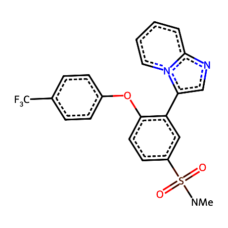 CNS(=O)(=O)c1ccc(Oc2ccc(C(F)(F)F)cc2)c(-c2cnc3ccccn23)c1